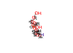 C=C1C[C@H](CCCO)OC1CC[C@H]1C[C@@H](C)C(=C)[C@@H](CC2O[C@H](C[C@H](C)CC)[C@H](C)[C@H]2C(C(O)CC2CC[C@@H]3C[C@@H]([C@H](/C=C/I)O[Si](C)(C)C(C)(C)C)[C@@H](O[Si](C)(C)C(C)(C)C)[C@@H](O[Si](C)(C)C(C)(C)C)[C@H]3O2)S(=O)(=O)c2ccccc2)O1